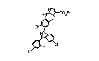 CCOC(=O)c1cnc(Nc2cc(Cl)c(-n3nc(-c4ccc(Cl)cc4F)c4cc(Cl)ccc43)cc2F)s1